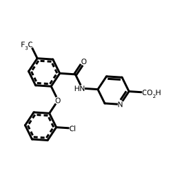 O=C(O)C1=NCC(NC(=O)c2cc(C(F)(F)F)ccc2Oc2ccccc2Cl)C=C1